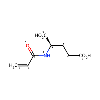 C=CC(=O)N[C@H](CCC(=O)O)C(=O)O